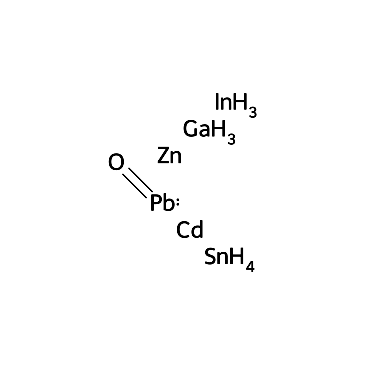 [Cd].[GaH3].[InH3].[O]=[Pb].[SnH4].[Zn]